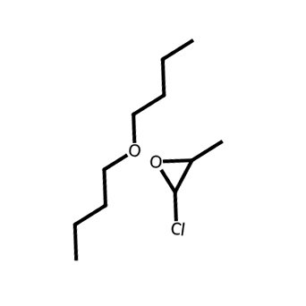 CC1OC1Cl.CCCCOCCCC